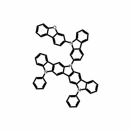 c1ccc(-n2c3ccccc3c3cc4c(cc32)c2cc3c(cc2n4-c2ccc4c5ccccc5n(-c5ccc6c(c5)oc5ccccc56)c4c2)c2ccccc2n3-c2ccccc2)cc1